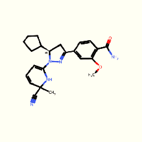 COc1cc(C2=NN(C3=CC=CC(C)(C#N)N3)[C@@H](C3CCCC3)C2)ccc1C(N)=O